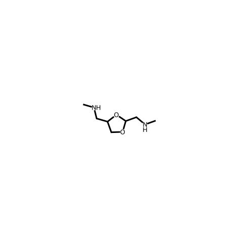 CNCC1COC(CNC)O1